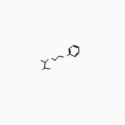 CC(C)C(C)OCCOc1ccccc1